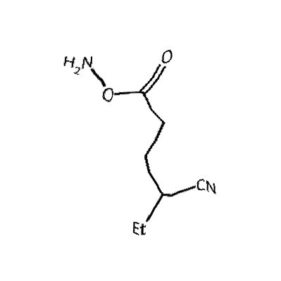 CCC(C#N)CCC(=O)ON